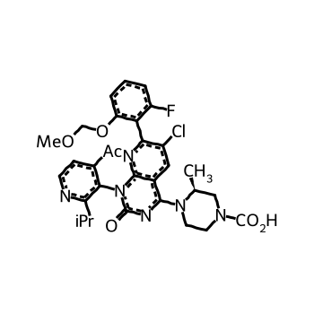 COCOc1cccc(F)c1-c1nc2c(cc1Cl)c(N1CCN(C(=O)O)C[C@@H]1C)nc(=O)n2-c1c(C(C)=O)ccnc1C(C)C